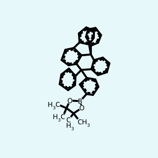 CC1(C)OB(c2cccc(C3(c4ccccc4)c4ccccc4C4(c5ccccc5)c5ccccc5-c5cccc3c54)c2)OC1(C)C